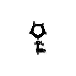 C1CCSC1.CNC